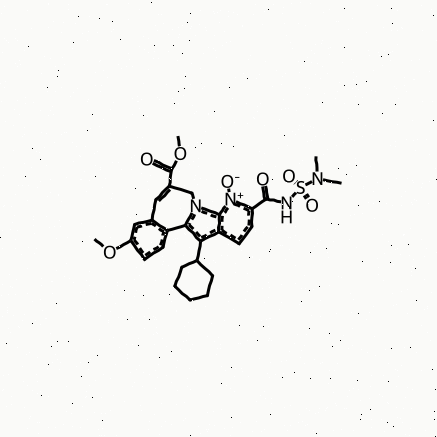 COC(=O)C1=Cc2cc(OC)ccc2-c2c(C3CCCCC3)c3ccc(C(=O)NS(=O)(=O)N(C)C)[n+]([O-])c3n2C1